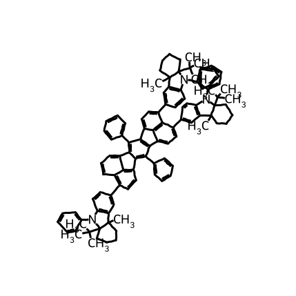 CC(C)(C)C12CCCCC1(C)c1cc(-c3ccc4c5c(-c6ccccc6)c6c7ccc(-c8ccc9c(c8)C8(C)CCCCC8(C(C)(C)C)N9c8ccccc8)c8c(-c9ccc%10c(c9)C9(C)CCCCC9(C(C)(C)C)N%10c9ccccc9)ccc(c6c(-c6ccccc6)c5c5cccc3c54)c87)ccc1N2c1ccccc1